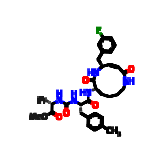 COC(=O)[C@@H](NC(=O)N[C@@H](Cc1ccc(C)cc1)C(=O)N[C@H]1CCCCNC(=O)C=C[C@H](Cc2cccc(F)c2)NC1=O)C(C)C